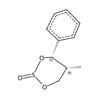 C[C@@H]1COS(=O)O[C@@H]1c1ccccc1